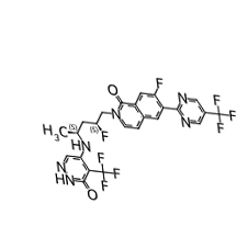 C[C@@H](C[C@H](F)Cn1ccc2cc(-c3ncc(C(F)(F)F)cn3)c(F)cc2c1=O)Nc1cn[nH]c(=O)c1C(F)(F)F